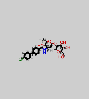 C[C@@H]1O[C@@H](O[C@H]2CO[C@H](CO)[C@@H](O)[C@@H]2O)C[C@](C)(NCc2ccc(-c3ccc(Cl)cc3)cc2)[C@H]1O